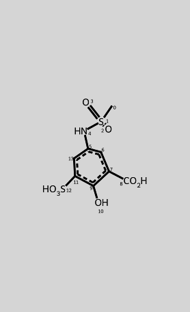 CS(=O)(=O)Nc1cc(C(=O)O)c(O)c(S(=O)(=O)O)c1